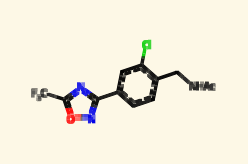 CC(=O)NCc1ccc(-c2noc(C(F)(F)F)n2)cc1Cl